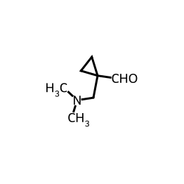 CN(C)CC1(C=O)CC1